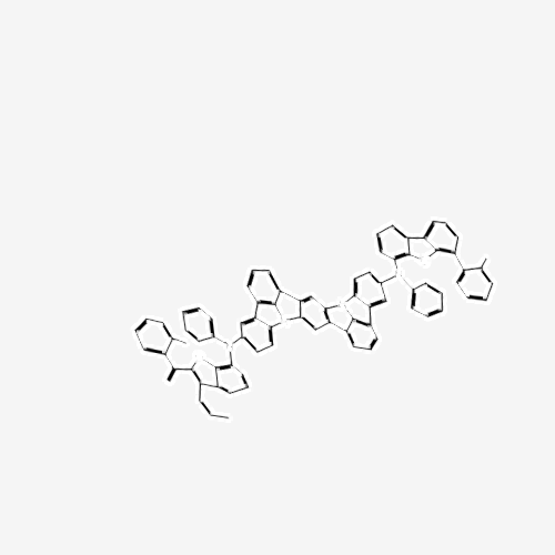 C=C(c1ccccc1C)c1oc2c(N(c3ccccc3)c3ccc4c(c3)c3cccc5c6cc7c(cc6n4c35)c3cccc4c5cc(N(c6ccccc6)c6cccc8c6oc6c(-c9ccccc9C)cccc68)ccc5n7c43)cccc2c1/C=C\C